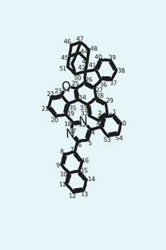 c1ccc(-c2cc(-c3ccc4ccccc4c3)nc(-c3cccc4oc5c6c(c7ccccc7c5c34)-c3ccccc3C63C4CC5CC(C4)CC3C5)n2)cc1